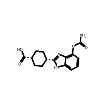 NC(=O)Oc1cccc2[nH]c([C@H]3CC[C@@H](C(=O)O)CC3)nc12